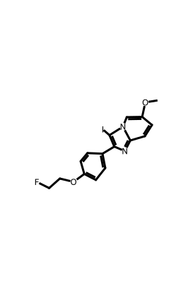 COc1ccc2nc(-c3ccc(OCCF)cc3)c(I)n2c1